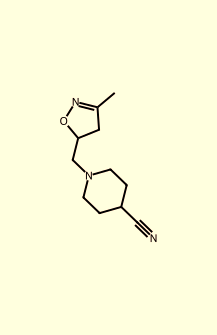 CC1=NOC(CN2CCC(C#N)CC2)C1